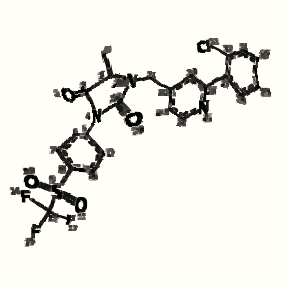 CC1C(=O)N(c2ccc(S(=O)(=O)C(F)(F)F)cc2)C(=O)N1Cc1ccnc(-c2ccccc2Cl)c1